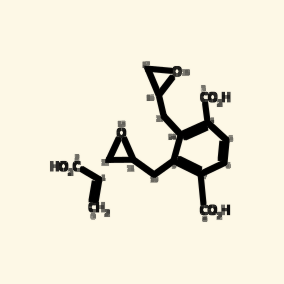 C=CC(=O)O.O=C(O)c1ccc(C(=O)O)c(CC2CO2)c1CC1CO1